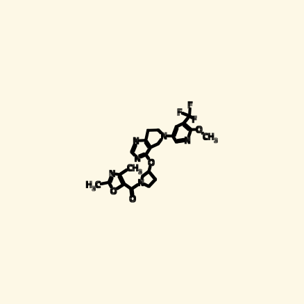 COc1ncc(N2CCc3ncnc(OC4CCN(C(=O)c5oc(C)nc5C)C4)c3C2)cc1C(F)(F)F